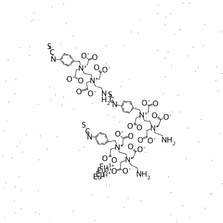 NCC[N+](CC[N+](CC(=O)[O-])(CC(=O)[O-])Cc1ccc(N=C=S)cc1)(CC(=O)[O-])CC(=O)[O-].NCC[N+](CC[N+](CC(=O)[O-])(CC(=O)[O-])Cc1ccc(N=C=S)cc1)(CC(=O)[O-])CC(=O)[O-].NCC[N+](CC[N+](CC(=O)[O-])(CC(=O)[O-])Cc1ccc(N=C=S)cc1)(CC(=O)[O-])CC(=O)[O-].[Eu+3].[Eu+3].[Eu+3].[Eu+3]